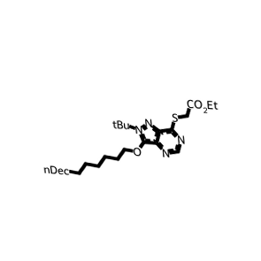 CCCCCCCCCCCCCCCCOc1c2ncnc(SCC(=O)OCC)c2nn1C(C)(C)C